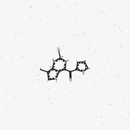 Cc1csc2c(C(=O)c3cccs3)nc(Cl)nc12